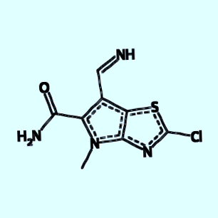 Cn1c(C(N)=O)c(C=N)c2sc(Cl)nc21